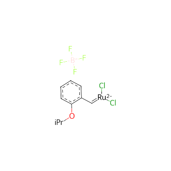 CC(C)Oc1ccccc1[CH]=[Ru-2]([Cl])[Cl].F[B-](F)(F)F